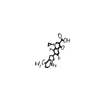 CC1=C2CC(c3c(F)cc4c(=O)c(C(=O)O)cn(C5CC5)c4c3F)CN2NCC1